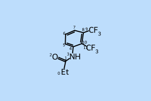 [CH2]CC(=O)Nc1cccc(C(F)(F)F)c1C(F)(F)F